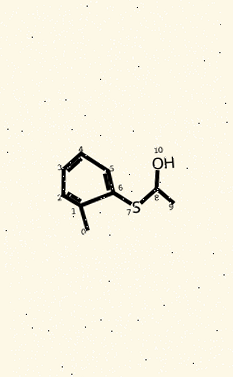 Cc1ccccc1SC(C)O